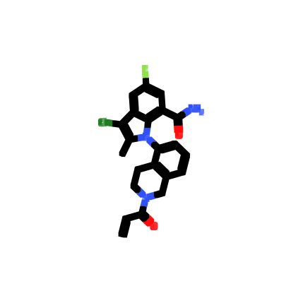 C=CC(=O)N1CCc2c(cccc2-n2c(C)c(Cl)c3cc(F)cc(C(N)=O)c32)C1